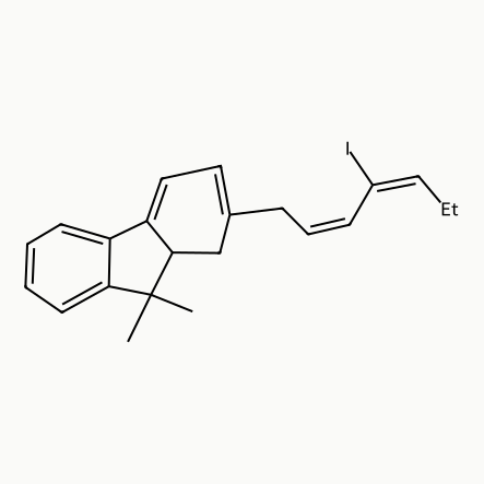 CC/C=C(I)\C=C/CC1=CC=C2c3ccccc3C(C)(C)C2C1